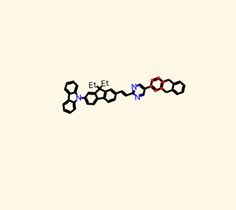 CCC1(CC)c2cc(/C=C/c3ncc(-c4ccc5c(c4)C4c6ccccc6C5C5C=CC=CC45)cn3)ccc2-c2ccc(-n3c4ccccc4c4ccccc43)cc21